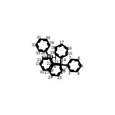 IC(c1ccccc1)(c1ccccc1)c1ccccc1[PH](I)(c1ccccc1)c1ccccc1